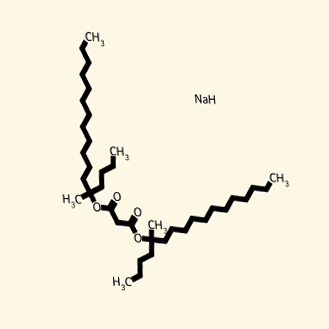 CCCCCCCCCCCCC(C)(CCCC)OC(=O)CC(=O)OC(C)(CCCC)CCCCCCCCCCCC.[NaH]